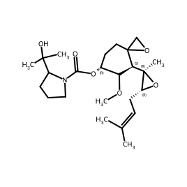 COC1[C@H](OC(=O)N2CCCC2C(C)(C)O)CCC2(CO2)[C@H]1[C@@]1(C)O[C@@H]1CC=C(C)C